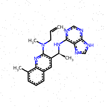 C=CCN(C)c1nc2c(C)cccc2cc1[C@H](C)Nc1ncnc2[nH]cnc12